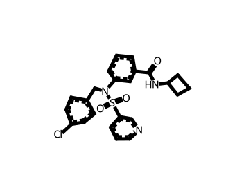 O=C(NC1CCC1)c1cccc(N(Cc2ccc(Cl)cc2)S(=O)(=O)c2cccnc2)c1